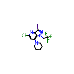 FC(F)(F)Cn1nc(I)c2nc(Cl)cc(N3CCCCC3)c21